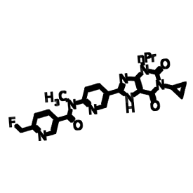 CCCn1c(=O)n(C2CC2)c(=O)c2[nH]c(-c3ccc(N(C)C(=O)c4ccc(CF)nc4)nc3)nc21